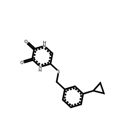 O=c1[nH]cc(SCc2cccc(C3CC3)c2)[nH]c1=O